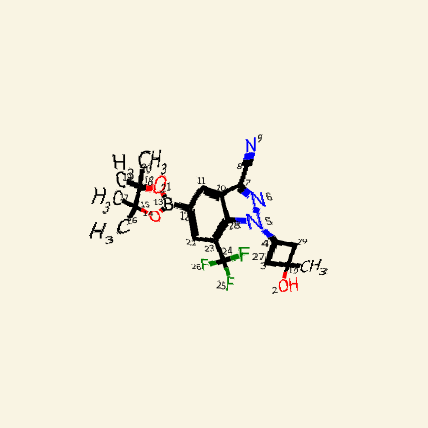 CC1(O)CC(n2nc(C#N)c3cc(B4OC(C)(C)C(C)(C)O4)cc(C(F)(F)F)c32)C1